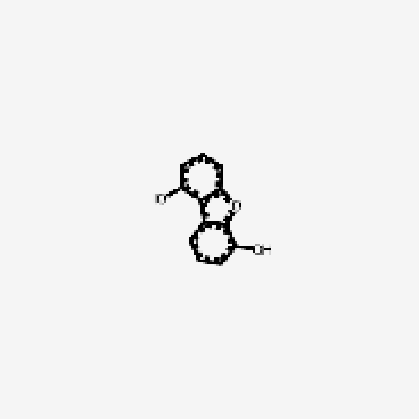 Oc1cccc2c1oc1cccc(O)c12